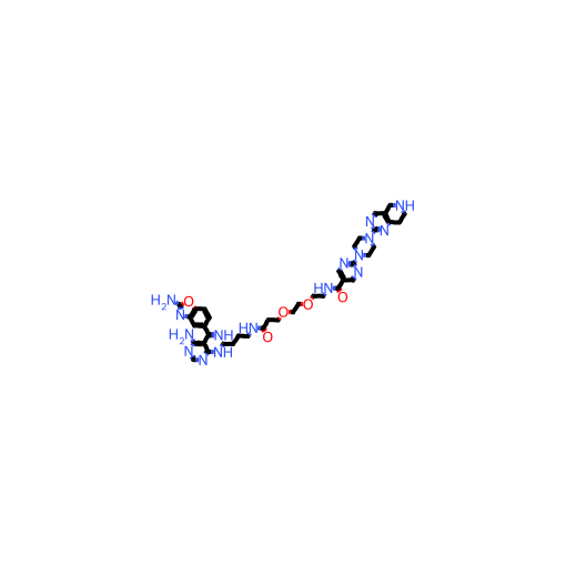 N=C(c1ccc2oc(N)nc2c1)c1c(N)ncnc1NCCCCNC(=O)CCOCCOCCNC(=O)c1cnc(N2CCN(c3ncc4c(n3)CCNC4)CC2)nc1